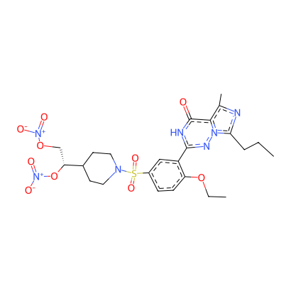 CCCc1nc(C)c2c(=O)[nH]c(-c3cc(S(=O)(=O)N4CCC([C@@H](CO[N+](=O)[O-])O[N+](=O)[O-])CC4)ccc3OCC)nn12